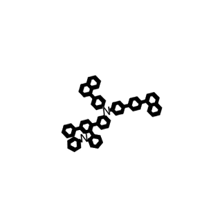 c1ccc(-c2ccc(-c3cccc(N(c4ccc(-c5ccc(-c6cccc7ccccc67)cc5)cc4)c4ccc(-c5cccc6ccccc56)cc4)c3)c3c4ccccc4n(-c4ccccc4)c23)cc1